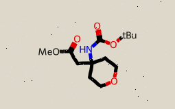 COC(=O)CC1(NC(=O)OC(C)(C)C)CCOCC1